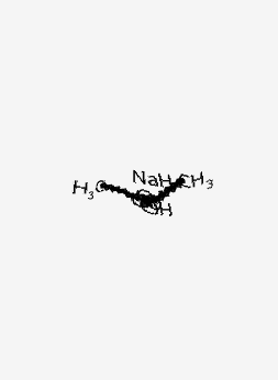 CCCCCCCCCCOP(=O)(O)OCCCCCCCCCC.[NaH]